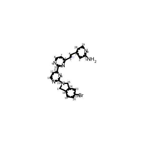 Nc1cc(/C=C/c2ccnc(-c3ccnc(N4Cc5ccc(Br)cc5C4)n3)n2)ccn1